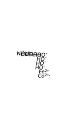 [Co+2].[Co+2].[Fe+2].[Ni+2].[OH-].[OH-].[OH-].[OH-].[OH-].[OH-].[OH-].[OH-]